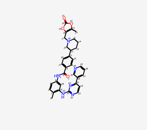 Cc1ccc(NC(=O)c2ccc(C3CCCN(Cc4oc(=O)oc4C)C3)cc2)cc1Nc1nccc(-c2cccnc2)n1